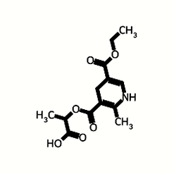 CCOC(=O)C1=CNC(C)=C(C(=O)OC(C)C(=O)O)C1